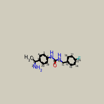 CC(N)c1ccc(NC(=O)NCc2ccc(F)cc2)cc1